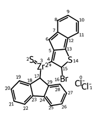 [Cl-].[Cl-].[S]=[Zr+2]([C]1=C2C=c3ccccc3=C2SC1Br)[CH]1c2ccccc2-c2ccccc21